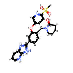 CS(=O)(=O)c1ccc(Oc2cc(-c3nc4cccnc4[nH]3)ccc2CN2CCCCC2=O)cn1